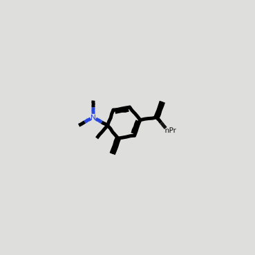 C=C(CCC)C1=CC(=C)C(C)(N(C)C)C=C1